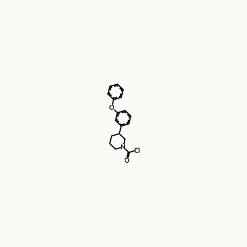 O=C(Cl)N1CCCC(c2cccc(Oc3ccccc3)c2)C1